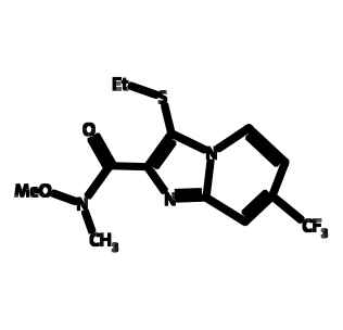 CCSc1c(C(=O)N(C)OC)nc2cc(C(F)(F)F)ccn12